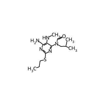 CCCSc1nc(N)c(NC)c(N(C=O)CC(C)C)n1